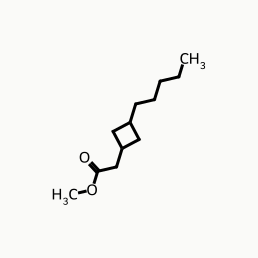 CCCCCC1CC(CC(=O)OC)C1